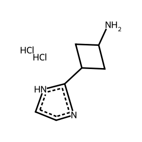 Cl.Cl.NC1CC(c2ncc[nH]2)C1